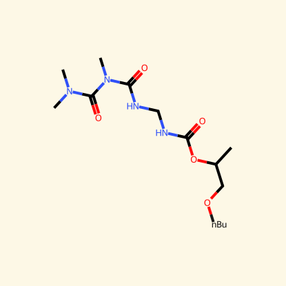 CCCCOCC(C)OC(=O)NCNC(=O)N(C)C(=O)N(C)C